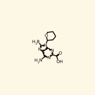 Bc1nc2c(N)nc(C(=O)O)nc2n1C1CCCCO1